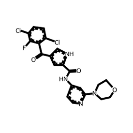 O=C(Nc1ccnc(N2CCOCC2)c1)c1cc(C(=O)c2c(Cl)ccc(Cl)c2F)c[nH]1